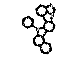 c1ccc(-n2c3ccc4ccccc4c3c3ccc4c(c5cccc6ncn4c65)c32)cc1